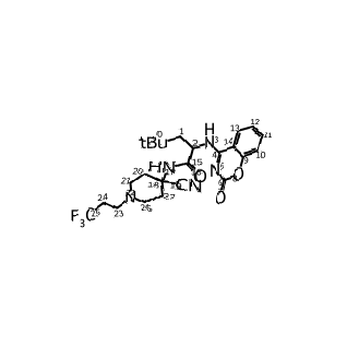 CC(C)(C)CC(Nc1nc(=O)oc2ccccc12)C(=O)NC1(C#N)CCN(CCC(F)(F)F)CC1